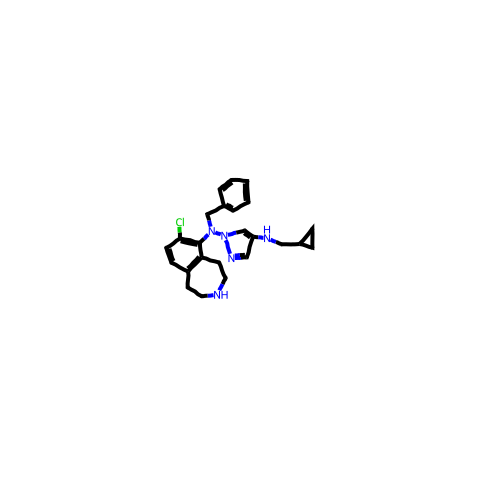 Clc1ccc2c(c1N(Cc1ccccc1)n1cc(NCC3CC3)cn1)CCNCC2